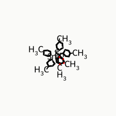 Cc1cc[c]([Sn]([S][Sn]([c]2ccc(C)cc2)([c]2ccc(C)cc2)[c]2ccc(C)cc2)([c]2ccc(C)cc2)[c]2ccc(C)cc2)cc1